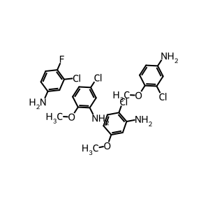 COc1ccc(Cl)c(N)c1.COc1ccc(Cl)cc1N.COc1ccc(N)cc1Cl.Nc1ccc(F)c(Cl)c1